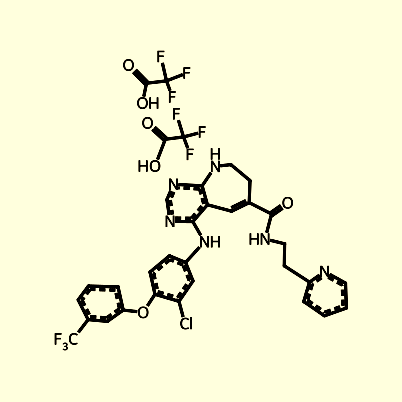 O=C(NCCc1ccccn1)C1=Cc2c(ncnc2Nc2ccc(Oc3cccc(C(F)(F)F)c3)c(Cl)c2)NCC1.O=C(O)C(F)(F)F.O=C(O)C(F)(F)F